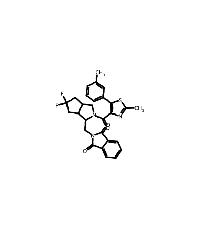 Cc1cccc(-c2sc(C)nc2C(=O)N2CC3CC(F)(F)CC3C2CN2C(=O)c3ccccc3C2=O)c1